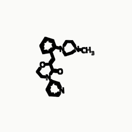 CN1CCN(c2ccccc2C=C2OCCN(c3cccnc3)C2=O)CC1